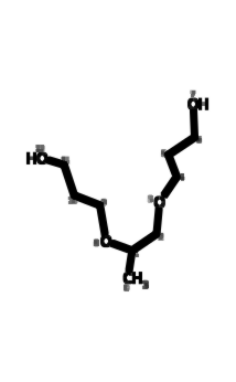 CC(COCCCO)OCCCO